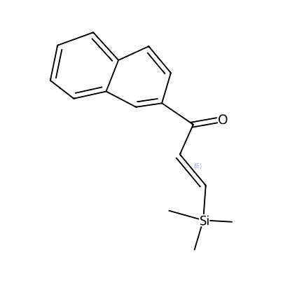 C[Si](C)(C)/C=C/C(=O)c1ccc2ccccc2c1